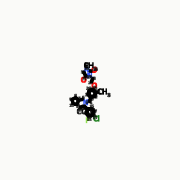 Cc1cc(CN(CC2CCCC2)C(CC(=O)O)c2ccc(Cl)c(F)c2)ccc1OCCN1C(=O)CN(C)C1=O